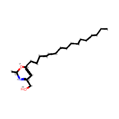 CCCCCCCCCCCCCCCCC1=CC(CO)=NC(C)O1